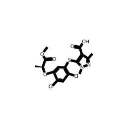 COC(=O)[C@H](C)Oc1cc(Sc2c(C(=O)O)c(C)nn2C)c(Cl)cc1Cl